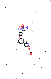 C=C1CC[C@@H](Oc2ccc(C3CC(=O)NS(=O)(=O)N3)cc2)C/C=C\C=C/1c1ccc(OCCC(C)(C)O)nc1C